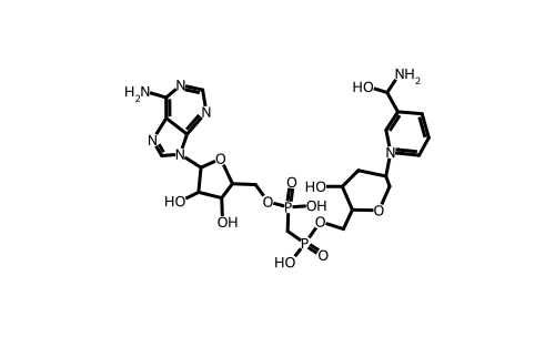 Nc1ncnc2c1ncn2C1OC(COP(=O)(O)CP(=O)(O)OCC2OCC([n+]3cccc(C(N)O)c3)CC2O)C(O)C1O